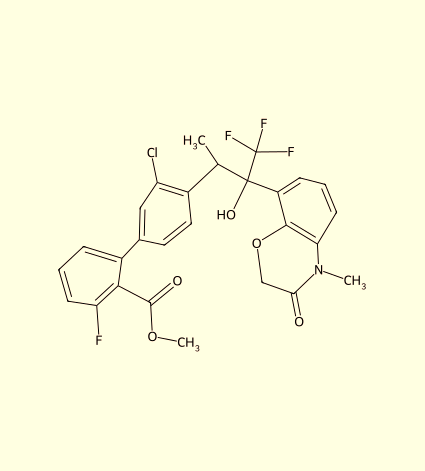 COC(=O)c1c(F)cccc1-c1ccc(C(C)C(O)(c2cccc3c2OCC(=O)N3C)C(F)(F)F)c(Cl)c1